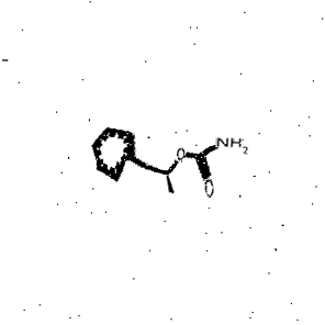 C[C@H](OC(N)=O)c1ccccc1